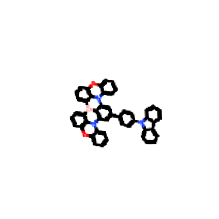 C1=CC2c3ccccc3N(c3ccc(-c4cc5c6c(c4)N4c7ccccc7Oc7cccc(c74)B6c4cccc6c4N5c4ccccc4O6)cc3)C2C=C1